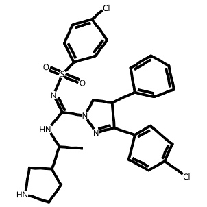 CC(NC(=NS(=O)(=O)c1ccc(Cl)cc1)N1CC(c2ccccc2)C(c2ccc(Cl)cc2)=N1)C1CCNC1